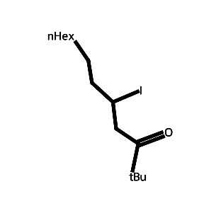 CCCCCCCCC(I)CC(=O)C(C)(C)C